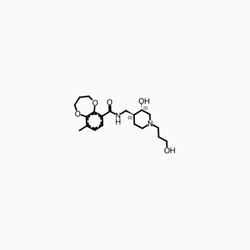 Cc1ccc(C(=O)NC[C@@H]2CCN(CCCO)C[C@H]2O)c2c1OCCCO2